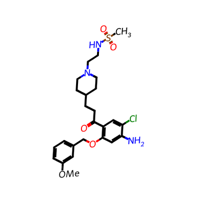 COc1cccc(COc2cc(N)c(Cl)cc2C(=O)CCC2CCN(CCNS(C)(=O)=O)CC2)c1